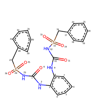 O=C(Nc1ccccc1NC(=O)NS(=O)(=O)Cc1ccccc1)NS(=O)(=O)Cc1ccccc1